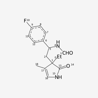 CCC1(CC(NC=O)c2ccc(F)cc2)C(=O)NC=C1C